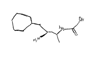 CC(NC(=O)O)[C@@H](N)CC1CCCCC1